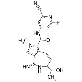 CC(O)C1C=Cc2c(cn(C)c2C(=O)Nc2cc(F)nc(C#N)c2)S(=N)N1